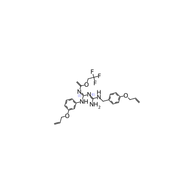 C=CCOc1ccc(CN/C(N)=N/C(=N\C(=C)OCC(F)(F)F)Nc2cccc(OCC=C)c2)cc1